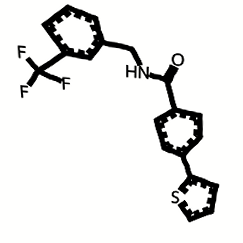 O=C(NCc1cccc(C(F)(F)F)c1)c1ccc(-c2cccs2)cc1